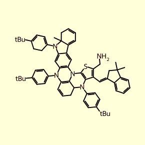 CC(C)(C)C1=CC=C(N2c3cc4c(cc3C3=CC=CCC32C)N2C3=C(C=CCC3N(c3ccc(C(C)(C)C)cc3)c3c2sc(CN)c3/C=C2\CC(C)(C)c3ccccc32)N4c2ccc(C(C)(C)C)cc2)CC1